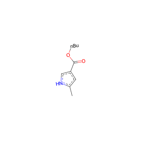 CCCCOC(=O)c1c[nH]c(C)c1